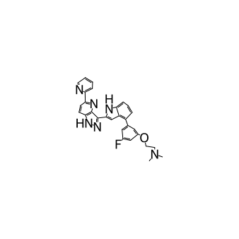 CN(C)CCOc1cc(F)cc(-c2cccc3[nH]c(-c4n[nH]c5ccc(-c6ccccn6)nc45)cc23)c1